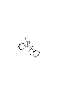 [CH2]C[C@@](C)(c1ccccc1)n1nc(C)c2ccccc21